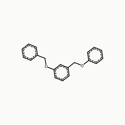 c1ccc(COc2cccc(COc3ccccc3)c2)cc1